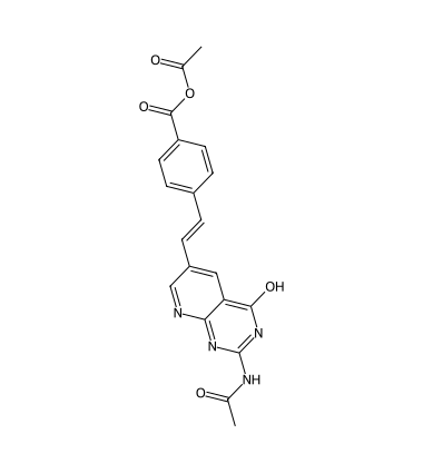 CC(=O)Nc1nc(O)c2cc(C=Cc3ccc(C(=O)OC(C)=O)cc3)cnc2n1